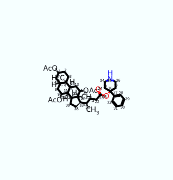 CC(=O)OC1CC[C@@]2(C)[C@@H](C1)CC(OC(C)=O)[C@@H]1[C@@H]2CC(OC(C)=O)[C@]2(C)[C@@H]([C@H](C)CCC(=O)OC3(c4ccccc4)CCNCC3)CC[C@@H]12